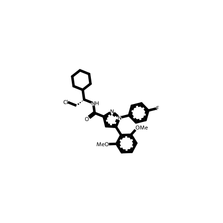 COc1cccc(OC)c1-c1cc(C(=O)N[C@H](CCl)C2CCCCC2)nn1-c1ccc(F)cc1